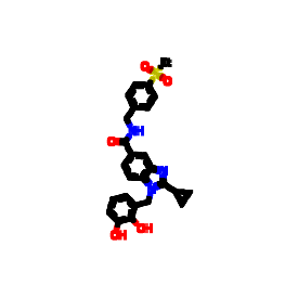 CCS(=O)(=O)c1ccc(CNC(=O)c2ccc3c(c2)nc(C2CC2)n3Cc2cccc(O)c2O)cc1